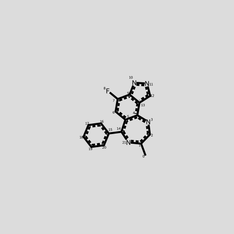 Cc1cnc2c(cc(F)c3nncc32)c(-c2ccccc2)n1